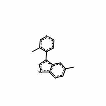 Cc1cnc2[nH]cc(-c3ccncc3C)c2c1